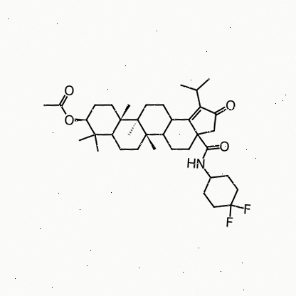 CC(=O)O[C@H]1CC[C@@]2(C)C(CC[C@@]3(C)C4CCC5(C(=O)NC6CCC(F)(F)CC6)CC(=O)C(C(C)C)=C5C4CC[C@@]32C)C1(C)C